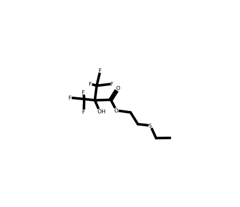 CCSCCOC(=O)C(O)(C(F)(F)F)C(F)(F)F